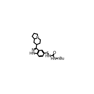 CCCCNC(=O)NSc1ccc2[nH]nc(C3CCN4CCCC4C3)c2c1